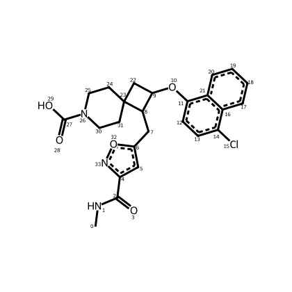 CNC(=O)c1cc(CC2C(Oc3ccc(Cl)c4ccccc34)CC23CCN(C(=O)O)CC3)on1